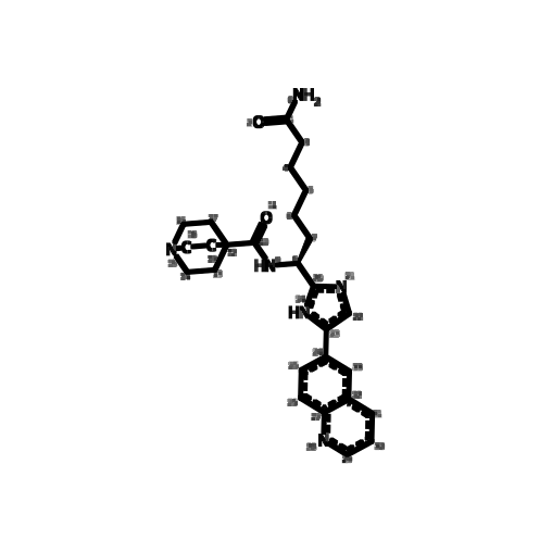 NC(=O)CCCCC[C@H](NC(=O)C12CCN(CC1)CC2)c1ncc(-c2ccc3ncccc3c2)[nH]1